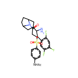 CC(=O)Nc1ccc(S(=O)(=O)CCC(=O)N2C3CCC2CC(C(N)Cc2cc(F)c(F)cc2F)C3)cc1